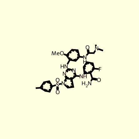 COc1ccc(NC(=O)CN(C)C)cc1Nc1nc(Nc2cccc(F)c2C(N)=O)c2ccn(S(=O)(=O)c3ccc(C)cc3)c2n1